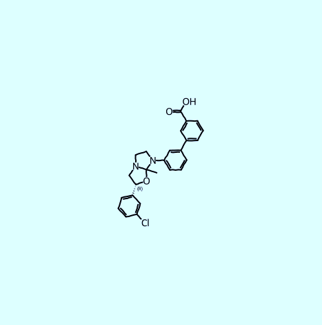 CC12O[C@H](c3cccc(Cl)c3)CN1CCN2c1cccc(-c2cccc(C(=O)O)c2)c1